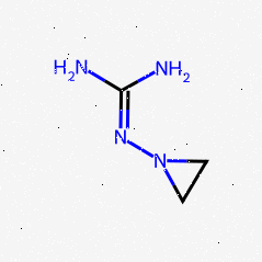 NC(N)=NN1CC1